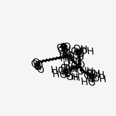 O=C(CN(CC(=O)NCCO[C@H]1O[C@H](CO)[C@@H](O)[C@H](O)[C@@H]1O)[C@@H](CCCCNC(=O)[C@H](CCC(=O)ON1C(=O)CCC1=O)NC(=O)CCCCCCCCCCCCCCC(=O)ON1C(=O)CCC1=O)C(=O)NCCO[C@H]1O[C@H](CO)[C@@H](O)[C@H](O)[C@@H]1O)NCCO[C@H]1O[C@H](CO)[C@@H](O)[C@H](O)[C@@H]1O